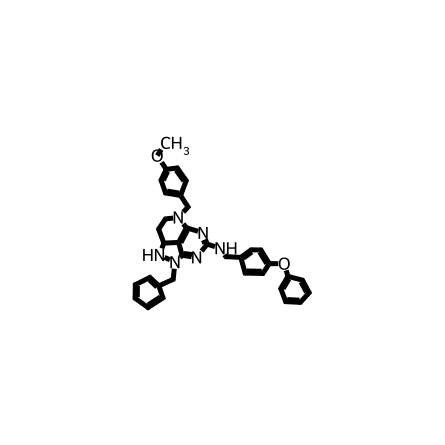 COc1ccc(CN2CCC3NN(Cc4ccccc4)c4nc(NCc5ccc(Oc6ccccc6)cc5)nc2c43)cc1